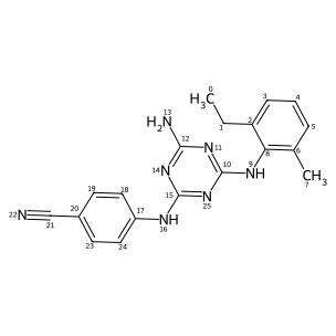 CCc1cccc(C)c1Nc1nc(N)nc(Nc2ccc(C#N)cc2)n1